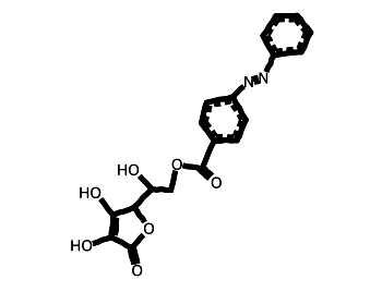 O=C1OC(C(O)COC(=O)c2ccc(N=Nc3ccccc3)cc2)C(O)=C1O